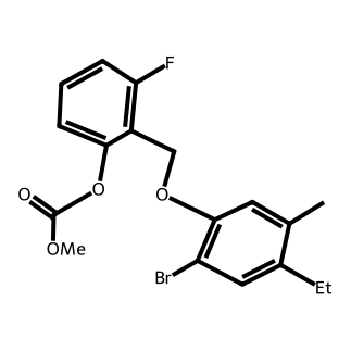 CCc1cc(Br)c(OCc2c(F)cccc2OC(=O)OC)cc1C